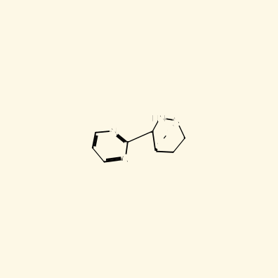 c1cnc(C2CNN3CCC2CC3)nc1